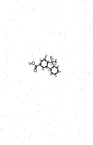 COC(=O)c1cc(C)c2c(c1)-c1ccccc1C2(F)F